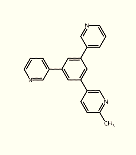 Cc1ccc(-c2cc(-c3cccnc3)cc(-c3cccnc3)c2)cn1